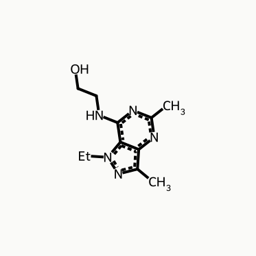 CCn1nc(C)c2nc(C)nc(NCCO)c21